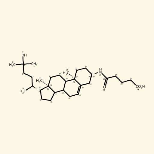 CC(CCC(C)(C)O)[C@H]1CCC2C3CC=C4C[C@@H](NC(=O)CCCC(=O)O)CC[C@]4(C)C3CC[C@@]21C